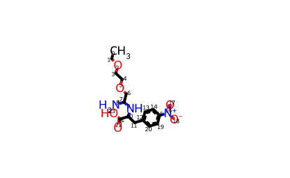 CCOCCOCC(N)NC(Cc1ccc([N+](=O)[O-])cc1)C(=O)O